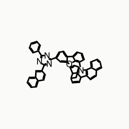 C1=CC2c3ccc4ccccc4c3N(c3cccc4c3oc3cc(-c5nc(-c6ccccc6)nc(-c6ccc7ccccc7c6)n5)ccc34)[C@@]23C2C=CC3C1C2